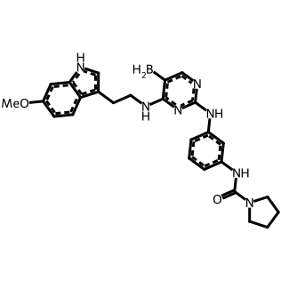 Bc1cnc(Nc2cccc(NC(=O)N3CCCC3)c2)nc1NCCc1c[nH]c2cc(OC)ccc12